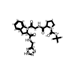 CC(C)(C)OC(=O)N1CCCC1C(=O)NCC(=O)N1c2ccccc2CC1C(=O)NCc1nn[nH]n1